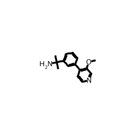 COc1cnccc1-c1cccc(C(C)(C)N)c1